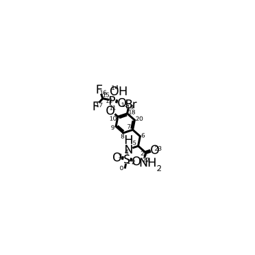 CS(=O)(=O)NC(Cc1ccc(OP(=O)(O)C(F)F)c(Br)c1)C(N)=O